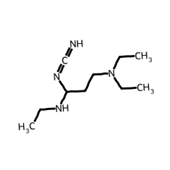 CCNC(CCN(CC)CC)N=C=N